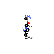 CCc1cc(NC2=CCC=CC3C(c4ccc(OC)c(F)c4C)=CN=C23)ccc1C(=O)/C=C/[C@H]1CC[C@H](N)C1